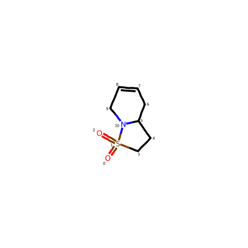 O=S1(=O)CCC2CC=CCN21